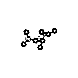 c1ccc(-c2ccc3c(c2)c2ccccc2n3-c2ccc(-c3ccccc3)c3c2oc2cc(-c4nc(-c5ccccc5)nc(-c5ccccc5)n4)ccc23)cc1